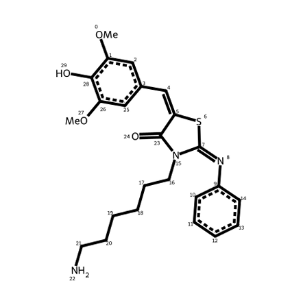 COc1cc(/C=C2/S/C(=N/c3ccccc3)N(CCCCCCN)C2=O)cc(OC)c1O